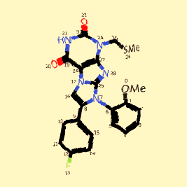 COc1ccccc1-n1c(-c2ccc(F)cc2)cn2c3c(=O)[nH]c(=O)n(CSC)c3nc12